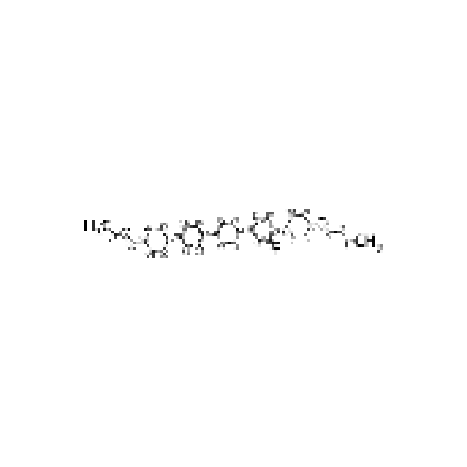 CCCCOC1CCC(c2ccc(C3CC=C(c4ccc(C5CCC(COCC)CC5)cc4)CC3)cc2F)CC1